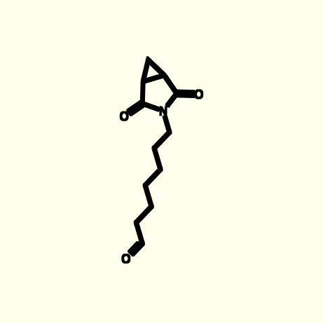 O=CCCCCCCN1C(=O)C2CC2C1=O